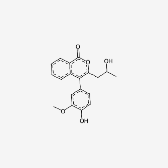 COc1cc(-c2c(CC(C)O)oc(=O)c3ccccc23)ccc1O